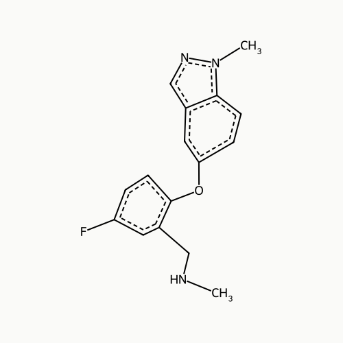 CNCc1cc(F)ccc1Oc1ccc2c(cnn2C)c1